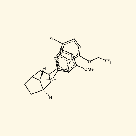 COc1cc(N2CC3CC[C@H](C2)[C@H]3Nc2nc3c(C(C)C)ccc(OCC(F)(F)F)n3n2)cnn1